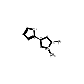 CC(C)[C@@H]1C[C@H](c2ccco2)CN1C